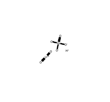 O=[As]([O-])([O-])[O-].[H+].[O]=[U+2]=[O]